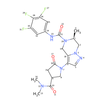 C[C@H]1Cn2ncc(N3CC(C(=O)N(C)C)CC3=O)c2CN1C(=O)Nc1cc(F)c(F)c(F)c1